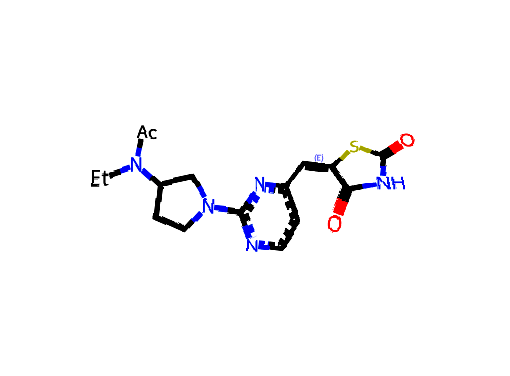 CCN(C(C)=O)C1CCN(c2nccc(/C=C3/SC(=O)NC3=O)n2)C1